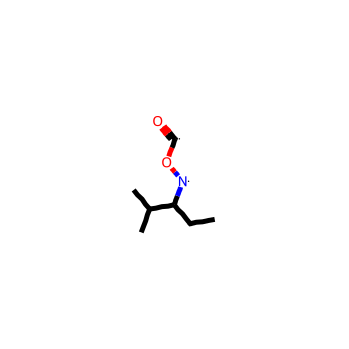 CCC([N]O[C]=O)C(C)C